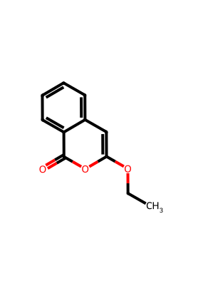 CCOc1cc2ccccc2c(=O)o1